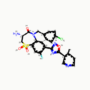 Cc1ccncc1-c1nc(-c2cc3c(cc2F)S(=O)(=O)C[C@H](N)C(=O)N3Cc2ccc(Cl)cc2)no1